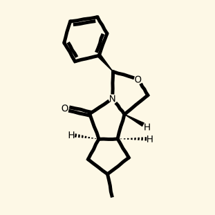 CC1C[C@@H]2[C@H]3CO[C@H](c4ccccc4)N3C(=O)[C@@H]2C1